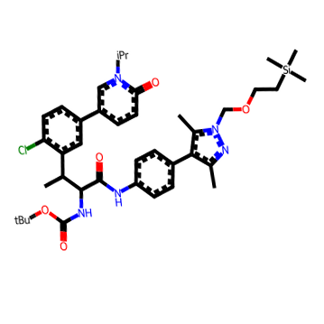 Cc1nn(COCC[Si](C)(C)C)c(C)c1-c1ccc(NC(=O)C(NC(=O)OC(C)(C)C)C(C)c2cc(-c3ccc(=O)n(C(C)C)c3)ccc2Cl)cc1